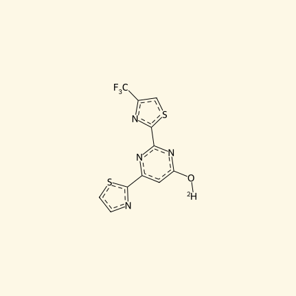 [2H]Oc1cc(-c2nccs2)nc(-c2nc(C(F)(F)F)cs2)n1